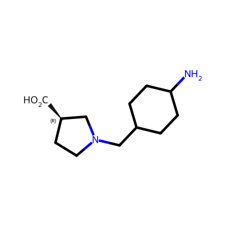 NC1CCC(CN2CC[C@@H](C(=O)O)C2)CC1